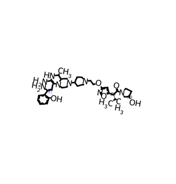 CC1NC(N)=C(/C=C(\N)c2ccccc2O)N2CCN(C3CCN(CCOc4cc([C@H](C(=O)N5CC[C@@H](O)C5)C(C)C)on4)CC3)CC12